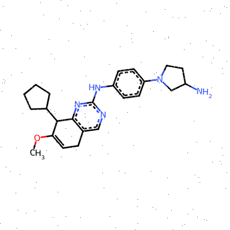 COC1=CCc2cnc(Nc3ccc(N4CCC(N)C4)cc3)nc2C1C1CCCC1